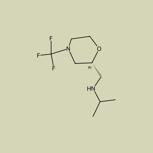 CC(C)NC[C@@H]1CN(C(F)(F)F)CCO1